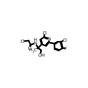 CC(CO)(NC(=O)CCl)c1cc(Cl)nc(-c2ccc(F)c(Cl)c2)c1